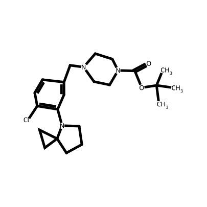 CC(C)(C)OC(=O)N1CCN(Cc2ccc(Cl)c(N3CCCC34CC4)c2)CC1